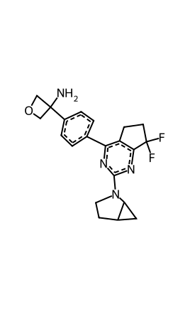 NC1(c2ccc(-c3nc(N4CCC5CC54)nc4c3CCC4(F)F)cc2)COC1